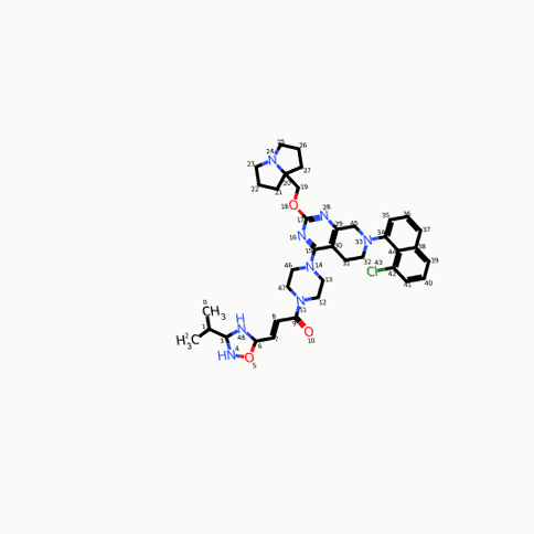 CC(C)C1NOC(/C=C/C(=O)N2CCN(c3nc(OCC45CCCN4CCC5)nc4c3CCN(c3cccc5cccc(Cl)c35)C4)CC2)N1